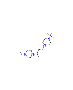 CCN1CCN(C(C)CCN2CCN(C(C)(C)C)CC2)CC1